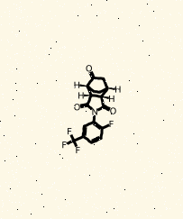 O=C1C[C@H]2CC[C@@H]1[C@H]1C(=O)N(c3cc(C(F)(F)F)ccc3F)C(=O)[C@@H]21